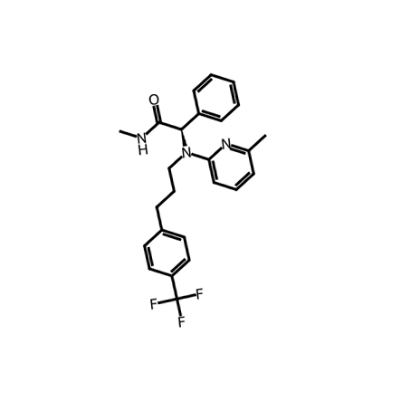 CNC(=O)[C@@H](c1ccccc1)N(CCCc1ccc(C(F)(F)F)cc1)c1cccc(C)n1